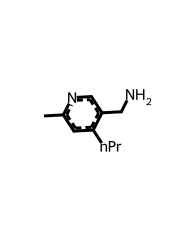 CCCc1cc(C)ncc1CN